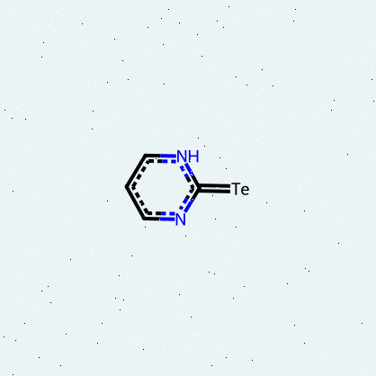 [Te]=c1nccc[nH]1